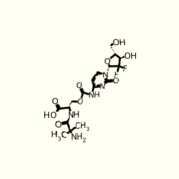 CC(C)(N)C(=O)N[C@@H](COC(=O)Nc1ccn([C@@H]2O[C@H](CO)[C@@H](O)C2(F)F)c(=O)n1)C(=O)O